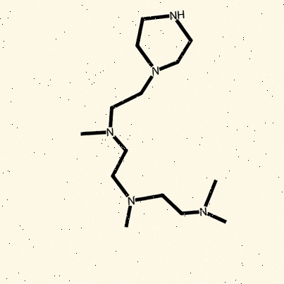 CN(C)CCN(C)CCN(C)CCN1CCNCC1